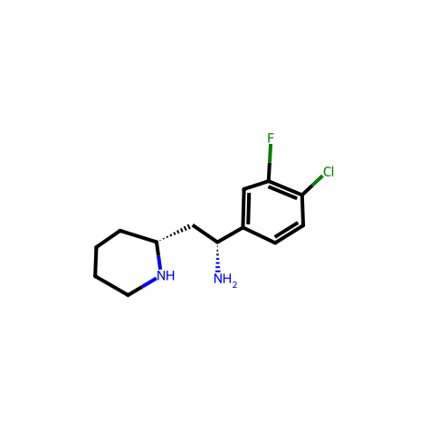 N[C@H](C[C@H]1CCCCN1)c1ccc(Cl)c(F)c1